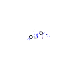 C=CC(=O)Nc1cc(Nc2ncc(C(F)(F)F)c(-c3cc(F)c4nc(C)n(C(C)C)c4c3)n2)c(OC)cc1N(C)CCN(C)C